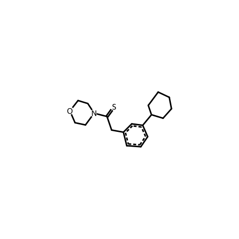 S=C(Cc1cccc(C2CCCCC2)c1)N1CCOCC1